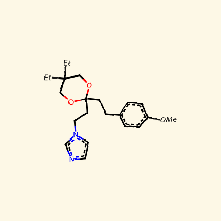 CCC1(CC)COC(CCc2ccc(OC)cc2)(CCn2ccnc2)OC1